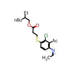 C/C=N\c1ccc(SCCC(=O)OCC(CC)CCCC)c(Cl)c1C(C)=O